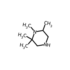 CC1CNCC(C)(C)N1C